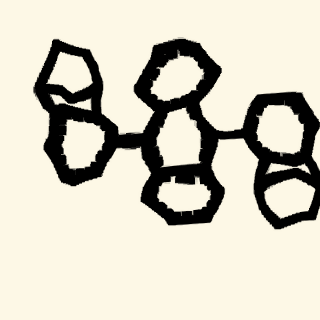 c1cc(-c2c3ccccc3c(-c3cccc4c3C3CCC4C3)c3ccccc23)c2c(c1)C1CCC2C1